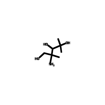 CC(C)(O)C(O)C(C)(N)CO